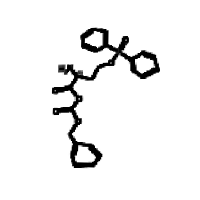 N[C@@H](CCOP(=O)(c1ccccc1)c1ccccc1)C(=O)OC(=O)OCc1ccccc1